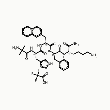 CC(C)(N)C(=O)N[C@@H](Cc1c[nH]cn1)C(=O)N[C@H](Cc1ccc2ccccc2c1)C(=O)N[C@H](Cc1ccccc1)C(=O)N[C@@H](CCCCN)C(N)=O.O=C(O)C(F)(F)F